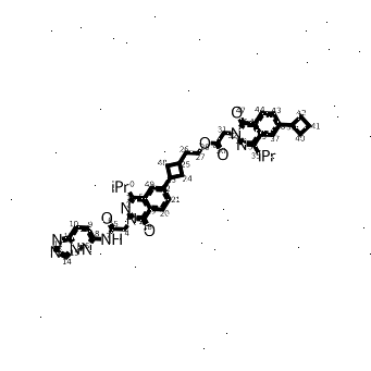 CC(C)c1nn(CC(=O)Nc2ccc3nncn3n2)c(=O)c2ccc(C3CC(CCOC(=O)Cn4nc(C(C)C)c5cc(C6CCC6)ccc5c4=O)C3)cc12